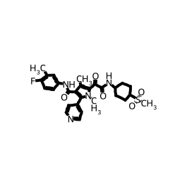 Cc1cc(NC(=O)c2c(C)c(C(=O)C(=O)NC3CCC(S(C)(=O)=O)CC3)n(C)c2-c2ccncc2)ccc1F